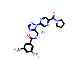 CC[C@H](NC(=O)c1cc(C(F)(F)F)cc(C(F)(F)F)c1)c1ncnn1-c1cnc(C(=O)N2CCCC2)cn1